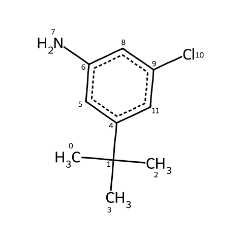 CC(C)(C)c1cc(N)cc(Cl)c1